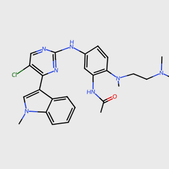 CC(=O)Nc1cc(Nc2ncc(Cl)c(-c3cn(C)c4ccccc34)n2)ccc1N(C)CCN(C)C